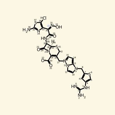 N=C(N)Nc1csc(Cn2ccn3c2cc[n+]3CC2=C(C(=O)[O-])N3C(=O)[C@@H](NC(=O)/C(=N\O)c4nc(N)sc4Cl)[C@H]3SC2)c1